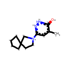 Cc1cc(N2CCC3(CCCC3)C2)n[nH]c1=O